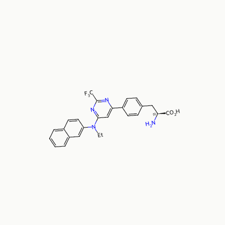 CCN(c1ccc2ccccc2c1)c1cc(-c2ccc(C[C@H](N)C(=O)O)cc2)nc(C(F)(F)F)n1